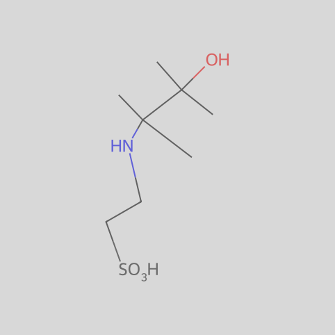 CC(C)(O)C(C)(C)NCCS(=O)(=O)O